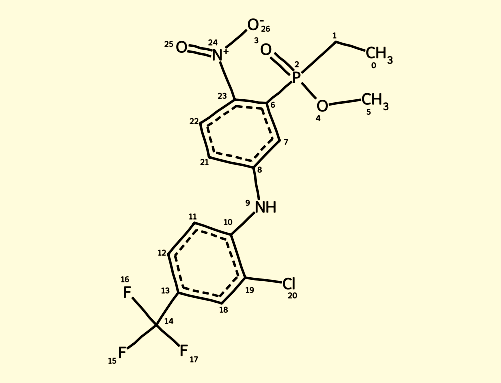 CCP(=O)(OC)c1cc(Nc2ccc(C(F)(F)F)cc2Cl)ccc1[N+](=O)[O-]